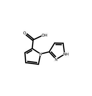 O=C(O)c1cccn1-c1cc[nH]n1